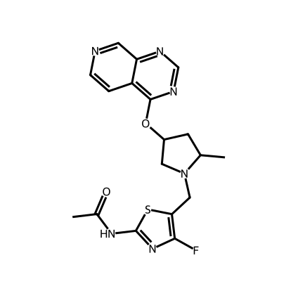 CC(=O)Nc1nc(F)c(CN2CC(Oc3ncnc4cnccc34)CC2C)s1